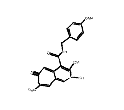 COc1ccc(CNC(=O)c2c3cc(=O)c([N+](=O)[O-])cc-3cn(O)c2O)cc1